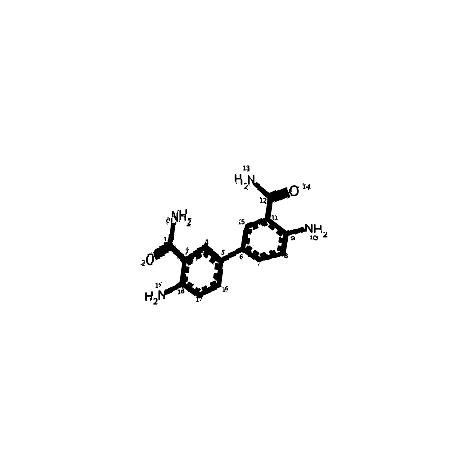 NC(=O)c1cc(-c2ccc(N)c(C(N)=O)c2)ccc1N